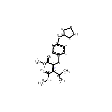 COC(=O)/C(Cc1ccc(OC2CCNC2)cc1)=C(\C(=O)OC)C(C)C